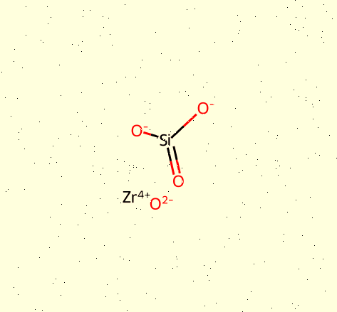 O=[Si]([O-])[O-].[O-2].[Zr+4]